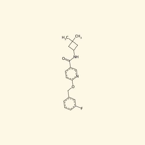 CC1(C)CC(NC(=O)c2ccc(OCc3cccc(F)c3)nc2)C1